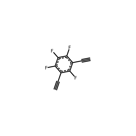 C#Cc1c(F)c(F)c(F)c(C#C)c1F